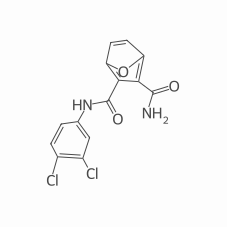 NC(=O)c1c(C(=O)Nc2ccc(Cl)c(Cl)c2)c2ccc1o2